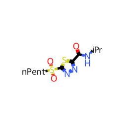 CCCCCS(=O)(=O)c1nnc(C(=O)NC(C)C)s1